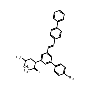 CC(=O)C(CC(C)C)c1cc(/C=C/c2ccc(-c3ccccc3)cc2)cc(-c2ccc(N)cc2)c1